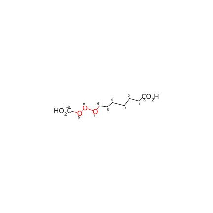 O=C(O)CCCCCCOOOC(=O)O